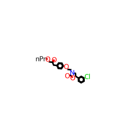 CCCOCC(=O)Cc1ccc(OCCN2CC(c3cccc(Cl)c3)OC2=O)cc1